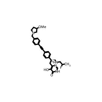 COC1CCN(Cc2ccc(C#Cc3ccc([C@H](CNCC(C)F)Cc4nc[nH]c(=O)c4O)cc3)cc2)C1